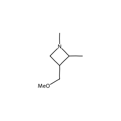 COCC1CN(C)C1C